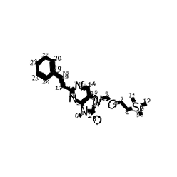 Cn1c(=O)n(COCC[Si](C)(C)C)c2cnc(C=Cc3ccccc3)nc21